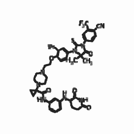 CC(C)c1cc(N2C(=S)N(c3ccc(C#N)c(C(F)(F)F)c3)C(=O)C2(C)C)ccc1OCCN1CCN(C2(C(=O)Nc3cccc(NC4CCC(=O)NC4=O)c3)CC2)CC1